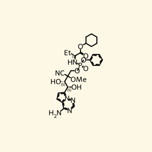 CC[C@H](NP(=O)(OCC(C#N)(OC)[C@@H](O)[C@@H](O)c1ccc2c(N)ncnn12)Oc1ccccc1)C(=O)OC1CCCCC1